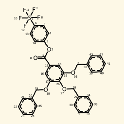 O=C(Oc1ccc(S(F)(F)(F)(F)F)cc1)c1cc(OCc2ccccc2)c(OCc2ccccc2)c(OCc2ccccc2)c1